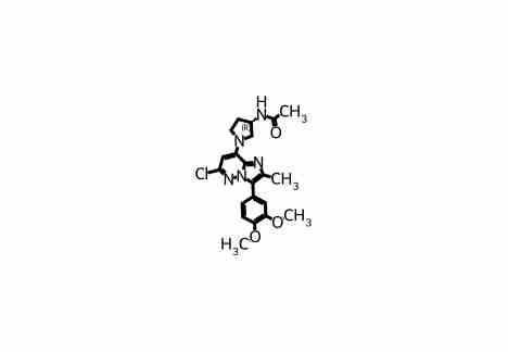 COc1ccc(-c2c(C)nc3c(N4CC[C@@H](NC(C)=O)C4)cc(Cl)nn23)cc1OC